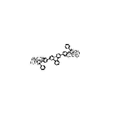 CC1(C)N=C(c2ccccc2)N(c2ccc(-c3ccc4c5ccc(-c6ccc(N7C(c8ccccc8)=NC(C)(C)C7(C)C)cc6)cc5c5ccccc5c4c3)cc2)C1(C)C